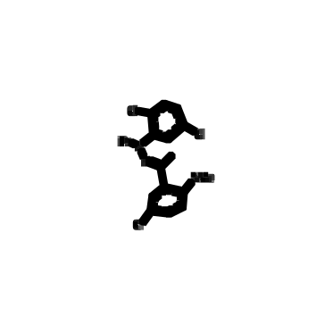 CNc1ccc(Cl)cc1/C(C)=N/N(c1cc(Cl)ccc1Cl)C(C)C